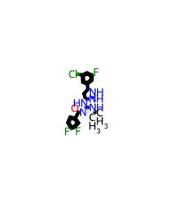 CC(C)N/C(=N/C(=O)c1ccc(F)c(F)c1)NC1CC(c2cc(F)cc(Cl)c2)NN1